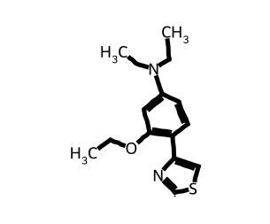 CCOc1cc(N(CC)CC)ccc1-c1cs[c]n1